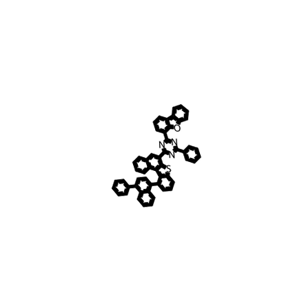 c1ccc(-c2nc(-c3cccc4c3oc3ccccc34)nc(-c3cc4ccccc4c4c3sc3cccc(-c5ccc(-c6ccccc6)c6ccccc56)c34)n2)cc1